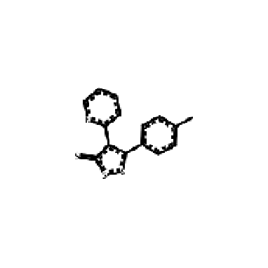 Cc1ccc(-c2ssc(=S)c2-c2ccccn2)cc1